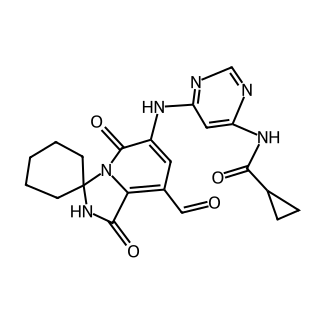 O=Cc1cc(Nc2cc(NC(=O)C3CC3)ncn2)c(=O)n2c1C(=O)NC21CCCCC1